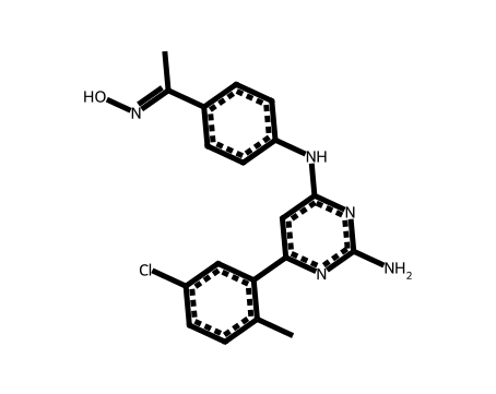 CC(=NO)c1ccc(Nc2cc(-c3cc(Cl)ccc3C)nc(N)n2)cc1